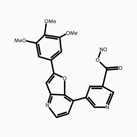 COc1cc(-c2cc3nccc(-c4cncc(C(=O)ON=O)c4)c3o2)cc(OC)c1OC